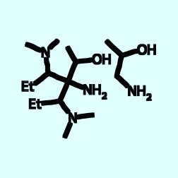 CC(O)CN.CCC(N(C)C)C(N)(C(C)O)C(CC)N(C)C